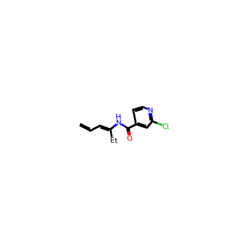 C=C/C=C(\CC)NC(=O)c1ccnc(Cl)c1